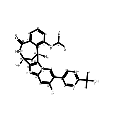 CC(C)(O)c1ncc(-c2cn3c4c(nc3cc2F)[C@H]2C[C@@H]4c3c(OC(F)F)cccc3C(=O)N2)cn1